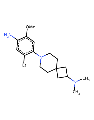 CCc1cc(N)c(OC)cc1N1CCC2(CC1)CC(N(C)C)C2